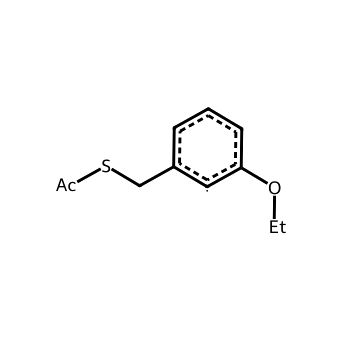 CCOc1[c]c(CSC(C)=O)ccc1